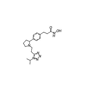 CC(C)n1nnnc1CCN1CCCC1c1ccc(CCC(=O)NO)cc1